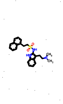 CN(C)CCc1c(NS(=O)(=O)CCc2cccc3ccccc23)[nH]c2ccccc12